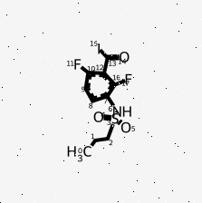 CCCS(=O)(=O)Nc1ccc(F)c(C(=O)I)c1F